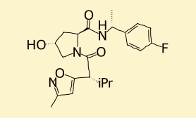 Cc1cc([C@H](C(=O)N2C[C@H](O)C[C@H]2C(=O)N[C@H](C)c2ccc(F)cc2)C(C)C)on1